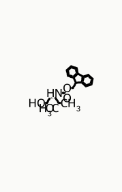 CC(C)[C@H](CC(=O)O)NC(=O)OCC1c2ccccc2-c2ccccc21